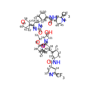 Cc1ccc(NC(=O)c2ccnc(C(F)(F)F)c2)cc1-c1cc(N2CC(O)C2)nc(C23CC(OCCOc4nc(-c5cc(NC(=O)c6ccnc(C(F)(F)F)c6)ccc5C)cc(C56CCOCC5C6)n4)OCC2C3)c1